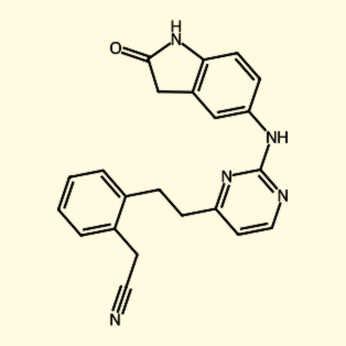 N#CCc1ccccc1CCc1ccnc(Nc2ccc3c(c2)CC(=O)N3)n1